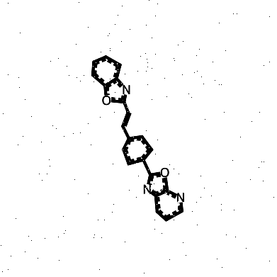 C(=Cc1nc2ccccc2o1)c1ccc(-c2nc3cccnc3o2)cc1